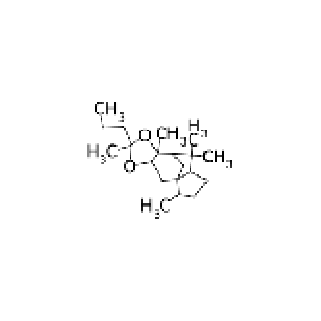 CCCC1(C)OC2CC34CC(C(C)(C)C3CCC4C)C2(C)O1